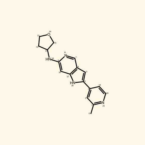 Cc1cc(-c2cc3cnc(NC4CCOC4)cc3[nH]2)ccn1